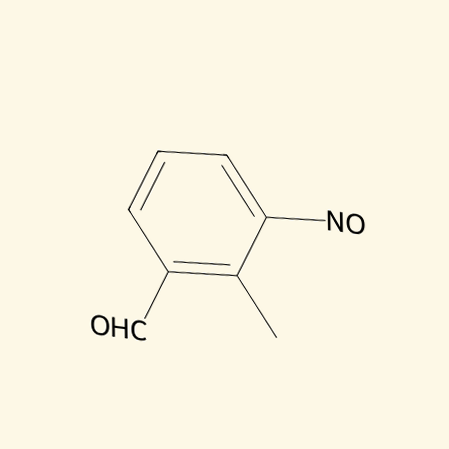 Cc1c(C=O)cccc1N=O